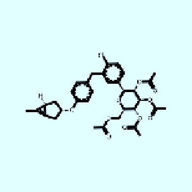 CC(=O)OC[C@H]1O[C@@H](c2ccc(Cl)c(Cc3ccc(O[C@@H]4CC5=C(C)[C@H]5C4)cc3)c2)[C@H](OC(C)=O)[C@@H](OC(C)=O)[C@@H]1OC(C)=O